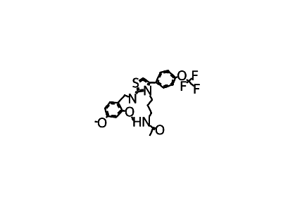 COc1ccc(CN=c2scc(-c3ccc(OC(F)(F)F)cc3)n2CCCNC(C)=O)c(OC)c1